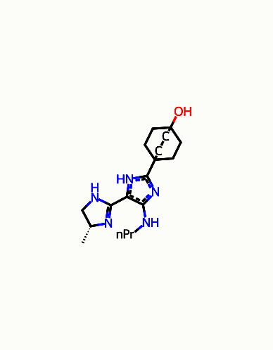 CCCNc1nc(C23CCC(O)(CC2)CC3)[nH]c1C1=N[C@H](C)CN1